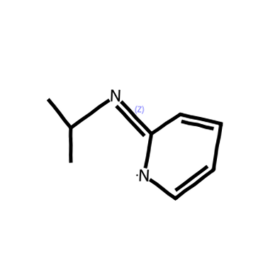 CC(C)/N=C1/C=CC=C[N]1